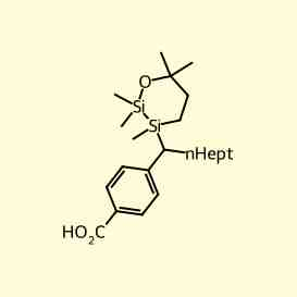 CCCCCCCC(c1ccc(C(=O)O)cc1)[Si]1(C)CCC(C)(C)O[Si]1(C)C